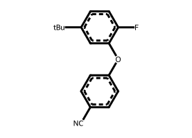 CC(C)(C)c1ccc(F)c(Oc2ccc(C#N)cc2)c1